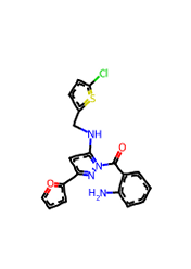 Nc1ccccc1C(=O)n1nc(-c2ccco2)cc1NCc1ccc(Cl)s1